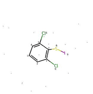 Clc1cccc(Cl)c1SI